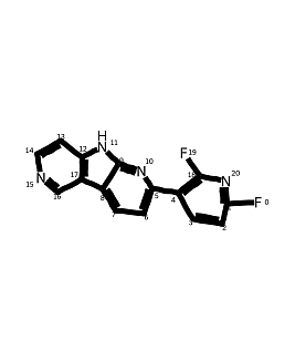 Fc1ccc(-c2ccc3c(n2)[nH]c2ccncc23)c(F)n1